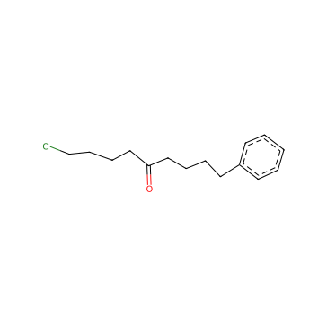 O=C(CCCCCl)CCCCc1ccccc1